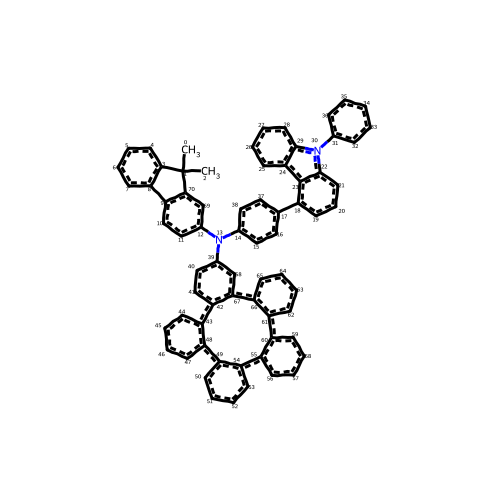 CC1(C)c2ccccc2-c2ccc(N(c3ccc(-c4cccc5c4c4ccccc4n5-c4ccccc4)cc3)c3ccc4c5ccccc5c5ccccc5c5ccccc5c5ccccc5c4c3)cc21